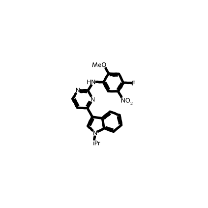 COc1cc(F)c([N+](=O)[O-])cc1Nc1nccc(-c2cn(C(C)C)c3ccccc23)n1